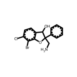 NCC1(c2ccccc2)Oc2c(ccc(Cl)c2Br)C1O